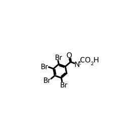 O=C(O)[N]C(=O)c1cc(Br)c(Br)c(Br)c1Br